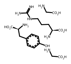 N=C(N)NCCC[C@H](N)C(=O)O.NCC(=O)O.NCC(=O)O.N[C@@H](Cc1ccc(O)cc1)C(=O)O